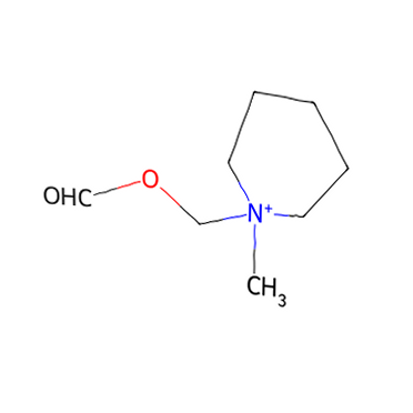 C[N+]1(COC=O)CCCCC1